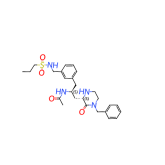 CCCS(=O)(=O)NCc1cccc(C[C@@H](C[C@@H]2NCCN(Cc3ccccc3)C2=O)NC(C)=O)c1